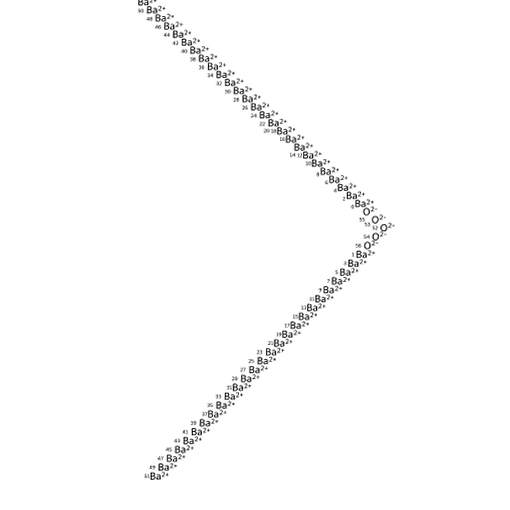 [Ba+2].[Ba+2].[Ba+2].[Ba+2].[Ba+2].[Ba+2].[Ba+2].[Ba+2].[Ba+2].[Ba+2].[Ba+2].[Ba+2].[Ba+2].[Ba+2].[Ba+2].[Ba+2].[Ba+2].[Ba+2].[Ba+2].[Ba+2].[Ba+2].[Ba+2].[Ba+2].[Ba+2].[Ba+2].[Ba+2].[Ba+2].[Ba+2].[Ba+2].[Ba+2].[Ba+2].[Ba+2].[Ba+2].[Ba+2].[Ba+2].[Ba+2].[Ba+2].[Ba+2].[Ba+2].[Ba+2].[Ba+2].[Ba+2].[Ba+2].[Ba+2].[Ba+2].[Ba+2].[Ba+2].[Ba+2].[Ba+2].[Ba+2].[Ba+2].[Ba+2].[O-2].[O-2].[O-2].[O-2].[O-2]